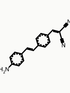 N#CC(C#N)=Cc1ccc(C=Cc2ccc(N)cc2)cc1